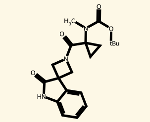 CN(C(=O)OC(C)(C)C)C1(C(=O)N2CC3(C2)C(=O)Nc2ccccc23)CC1